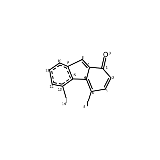 O=C1C=CC(I)=C2C1=Cc1cccc(I)c12